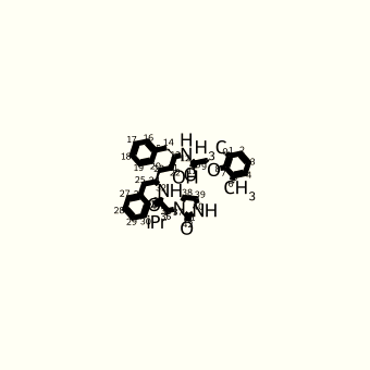 Cc1cccc(C)c1OCC(=O)N[C@@H](Cc1ccccc1)[C@@H](O)C[C@H](Cc1ccccc1)NC(=O)[C@H](C(C)C)N1CCNC1=O